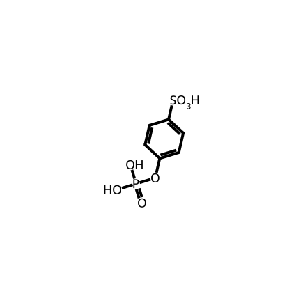 O=P(O)(O)Oc1ccc(S(=O)(=O)O)cc1